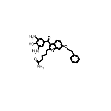 NC(=O)CCCCc1oc2cc(OCCc3ccccc3)ccc2c1C(=O)c1cc(N)c(O)c(N)c1